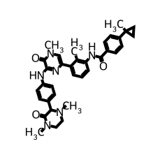 Cc1c(NC(=O)c2ccc(C3(C)CC3)cc2)cccc1-c1cn(C)c(=O)c(Nc2ccc(C3C(=O)N(C)CCN3C)cc2)n1